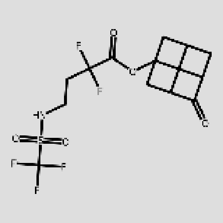 O=C1C2CC3CC4(OC(=O)C(F)(F)CCNS(=O)(=O)C(F)(F)F)CC1C324